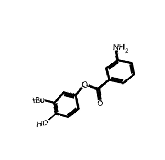 CC(C)(C)c1cc(OC(=O)c2cccc(N)c2)ccc1O